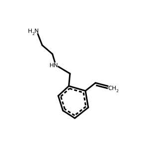 C=Cc1ccccc1CNCCN